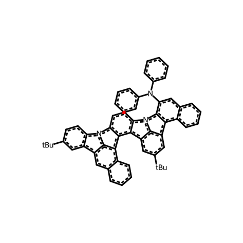 CC(C)(C)c1ccc2c(c1)c1cc3ccccc3c3c4c5c6cc(C(C)(C)C)cc7c8c9ccccc9cc(N(c9ccccc9)c9ccccc9)c8n(c5ccc4n2c13)c67